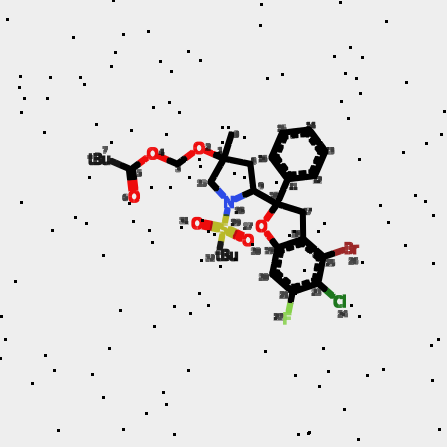 CC1(OCOC(=O)C(C)(C)C)CC(C2(c3ccccc3)Cc3c(cc(F)c(Cl)c3Br)O2)N(S(=O)(=O)C(C)(C)C)C1